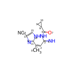 C/C(=C/C(=N)NC(=O)C1CC1)c1nc(C#N)c[nH]1